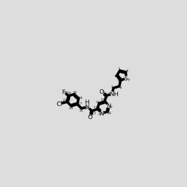 O=C(NCCc1cccs1)c1cc(C(=O)NCc2ccc(F)c(Cl)c2)ncn1